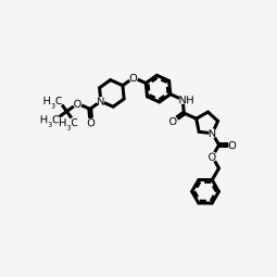 CC(C)(C)OC(=O)N1CCC(Oc2ccc(NC(=O)C3CCN(C(=O)OCc4ccccc4)C3)cc2)CC1